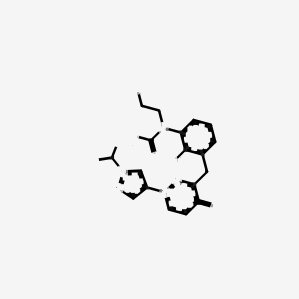 CCCN(C(=O)O)c1cccc(Cc2nn(-c3cnn(C(C)C)c3)ccc2=O)c1C